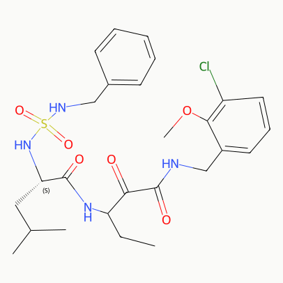 CCC(NC(=O)[C@H](CC(C)C)NS(=O)(=O)NCc1ccccc1)C(=O)C(=O)NCc1cccc(Cl)c1OC